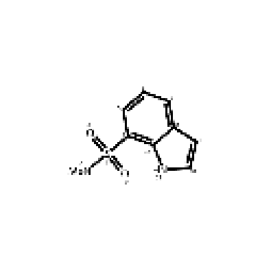 CNS(=O)(=O)c1cccc2cc[nH]c12